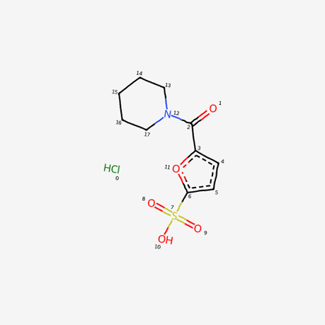 Cl.O=C(c1ccc(S(=O)(=O)O)o1)N1CCCCC1